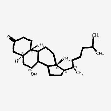 CC(C)CCC[C@@H](C)[C@H]1CCC2C3C(CC[C@@]21C)[C@@]1(C)CCC(=O)C[C@@H]1C[C@H]3O